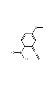 COC1=CC(=C=O)C(B(O)O)C=C1